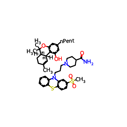 CCCCCc1cc(O)c2c(c1)OC(C)(C)[C@@H]1CCC(C)=C[C@@H]21.CS(=O)(=O)c1ccc2c(c1)N(CCCN1CCC(C(N)=O)CC1)c1ccccc1S2